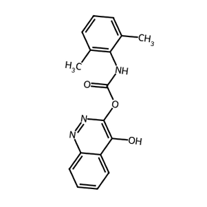 Cc1cccc(C)c1NC(=O)Oc1nnc2ccccc2c1O